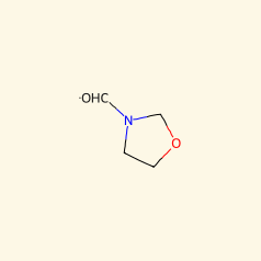 O=[C]N1CCOC1